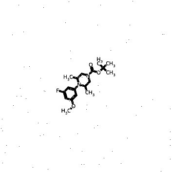 COc1cc(F)cc(N2C(C)CN(C(=O)OC(C)(C)C)CC2C)c1